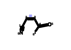 N#C/C=C\C(=O)I